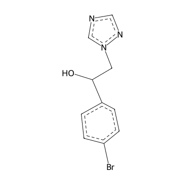 OC(Cn1cncn1)c1ccc(Br)cc1